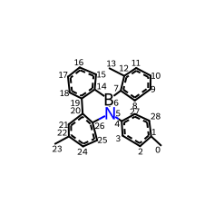 Cc1ccc(N2B(c3ccccc3C)c3ccccc3-c3cc(C)ccc32)cc1